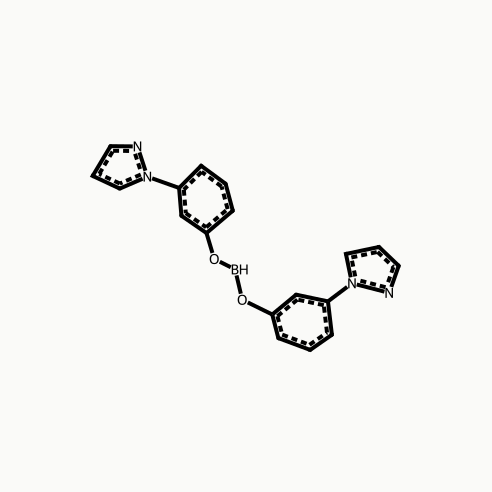 B(Oc1cccc(-n2cccn2)c1)Oc1cccc(-n2cccn2)c1